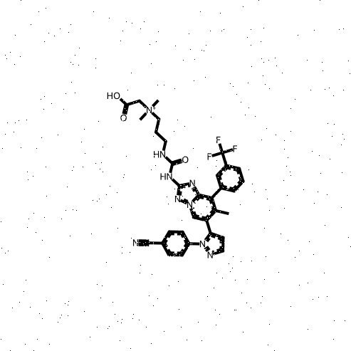 Cc1c(-c2ccnn2-c2ccc(C#N)cc2)cn2nc(NC(=O)NCCC[N+](C)(C)CC(=O)O)nc2c1-c1cccc(C(F)(F)F)c1